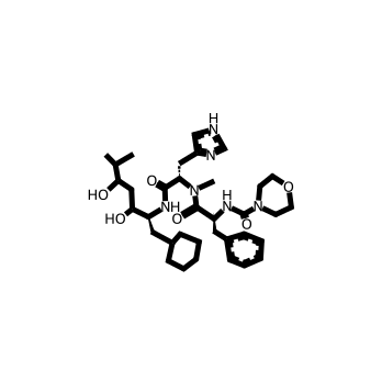 CC(C)C(O)CC(O)[C@H](CC1CCCCC1)NC(=O)[C@H](Cc1c[nH]cn1)N(C)C(=O)[C@H](Cc1ccccc1)NC(=O)N1CCOCC1